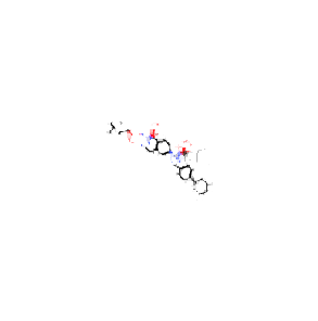 C[Si](C)(C)CCOCn1ccc2cc(N(Cc3ccc(C4CCCCC4)cc3)C(=O)C(F)(F)F)ccc2c1=O